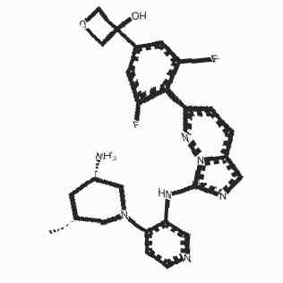 C[C@@H]1C[C@H](N)CN(c2ccncc2Nc2ncc3ccc(-c4c(F)cc(C5(O)COC5)cc4F)nn23)C1